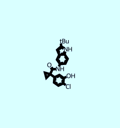 CC(C)(C)c1cc2cc(NC(=O)C3(c4ccc(Cl)c(O)c4)CC3)ccc2[nH]1